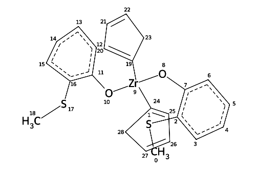 CSc1ccccc1[O][Zr]([O]c1ccccc1SC)([C]1=CC=CC1)[C]1=CC=CC1